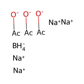 CC(=O)[O-].CC(=O)[O-].CC(=O)[O-].[BH4-].[Na+].[Na+].[Na+].[Na+]